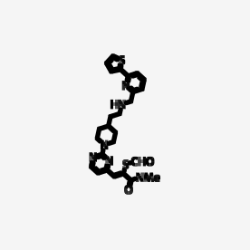 CNC(=O)/C(=C/c1ccnc(N2CCC(CCNCc3cccc(-c4cccs4)n3)CC2)n1)SC=O